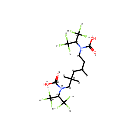 CC(CCN(C(=O)O)C(C(F)(F)F)C(F)(F)F)CC(C)(C)CN(C(=O)O)C(C(F)(F)F)C(F)(F)F